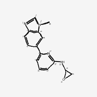 Cn1cnc2ccc(-c3cccc(NC4CO4)n3)cc21